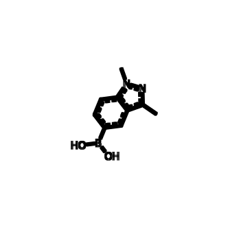 Cc1nn(C)c2ccc(B(O)O)cc12